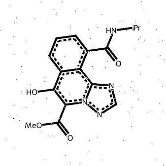 COC(=O)c1c(O)c2cccc(C(=O)NC(C)C)c2c2ncnn12